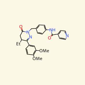 CCC1CC(=O)N(Cc2ccc(NC(=O)c3ccncc3)cc2)N=C1c1ccc(OC)c(OC)c1